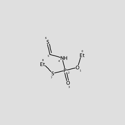 CCOP(=O)(NC=S)SCC